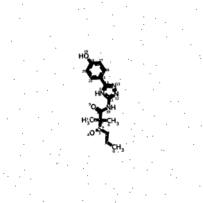 CCC[S+]([O-])C(C)(C)C(=O)Nc1nnc(-c2ccc(O)cc2)[nH]1